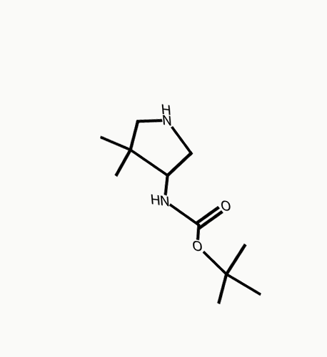 CC(C)(C)OC(=O)NC1CNCC1(C)C